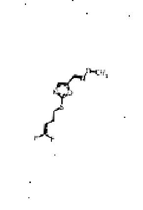 CO/N=C/c1cnc(SCCC=C(F)F)o1